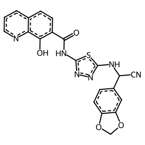 N#CC(Nc1nnc(NC(=O)c2ccc3cccnc3c2O)s1)c1ccc2c(c1)OCO2